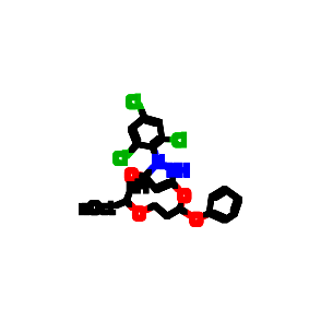 CCCCCCCCC(CCC)OCCC(Oc1ccccc1)Oc1cc(=O)n(-c2c(Cl)cc(Cl)cc2Cl)[nH]1